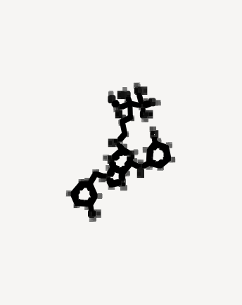 O=[PH2]C(O)(CCCNc1nc(Nc2cccc(Cl)c2)c2ncn(Cc3cccc(O)c3)c2n1)P(=O)(O)O